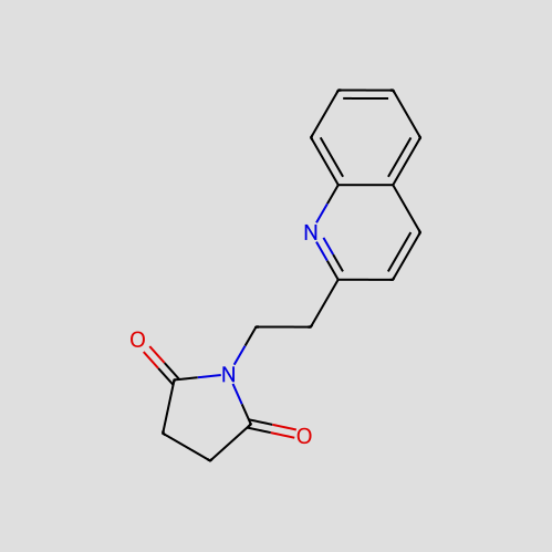 O=C1CCC(=O)N1CCc1ccc2ccccc2n1